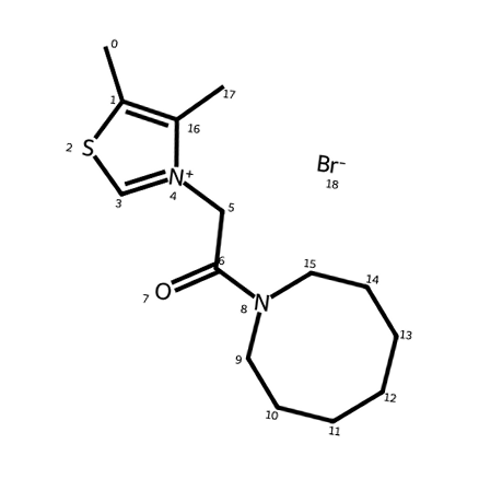 Cc1sc[n+](CC(=O)N2CCCCCCC2)c1C.[Br-]